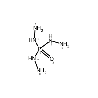 NNP(=O)(NN)NN